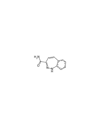 NC(=O)C1=NNc2ccccc2C=C1